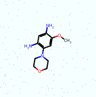 COc1cc(N2CCOCC2)c(N)cc1N